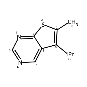 Cc1sc2ncncc2c1C(C)C